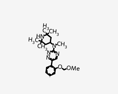 COCOc1c[c]ccc1-c1cnc(N(C)C2CC(C)(C)NC(C)(C)C2)nn1